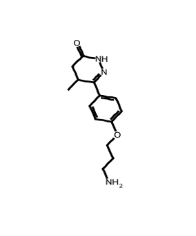 CC1CC(=O)NN=C1c1ccc(OCCCN)cc1